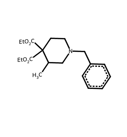 CCOC(=O)C1(C(=O)OCC)CCN(Cc2ccccc2)CC1C